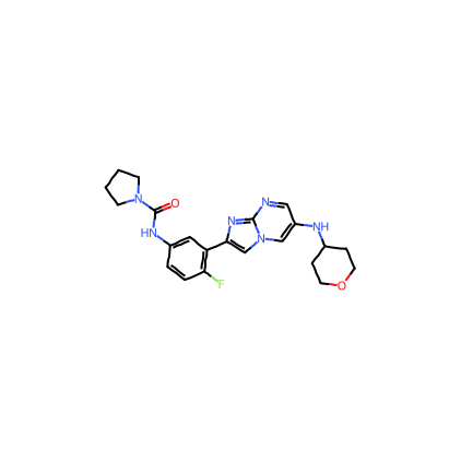 O=C(Nc1ccc(F)c(-c2cn3cc(NC4CCOCC4)cnc3n2)c1)N1CCCC1